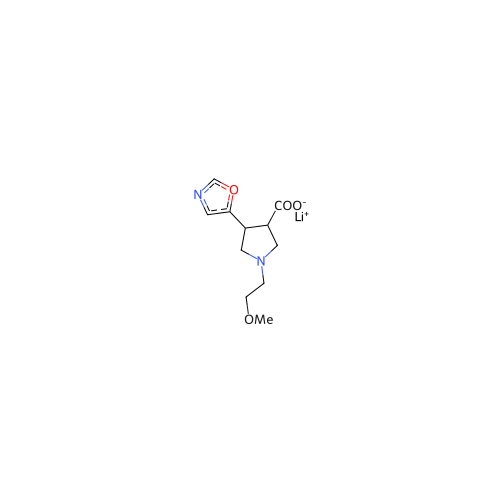 COCCN1CC(C(=O)[O-])C(c2cnco2)C1.[Li+]